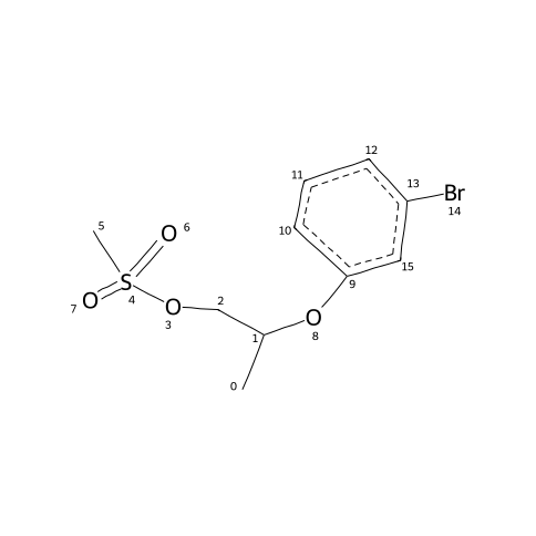 CC(COS(C)(=O)=O)Oc1cccc(Br)c1